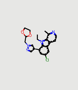 CCn1c2c(-c3cnn(CC4OCCO4)c3)cc(Cl)cc2c2ccnc(C)c21